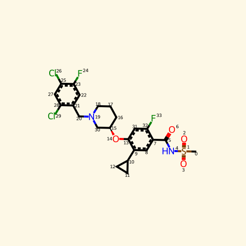 CS(=O)(=O)NC(=O)c1cc(C2CC2)c(O[C@@H]2CCCN(Cc3cc(F)c(Cl)cc3Cl)C2)cc1F